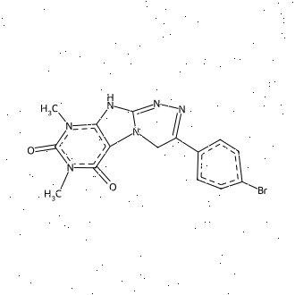 Cn1c2c(c(=O)n(C)c1=O)N1CC(c3ccc(Br)cc3)=NN=C1N2